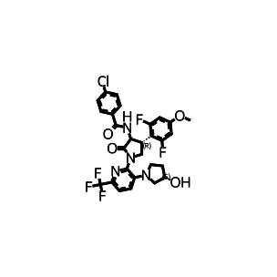 COc1cc(F)c([C@@H]2CN(c3nc(C(F)(F)F)ccc3N3CC[C@H](O)C3)C(=O)C2NC(=O)c2ccc(Cl)cc2)c(F)c1